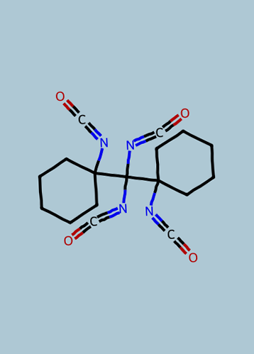 O=C=NC1(C(N=C=O)(N=C=O)C2(N=C=O)CCCCC2)CCCCC1